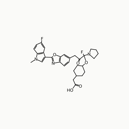 Cn1cc(-c2nc3ccc(CC(=O)C(F)(OC4CCC(CC(=O)O)CC4)N4CCCC4)cc3o2)c2cc(F)ccc21